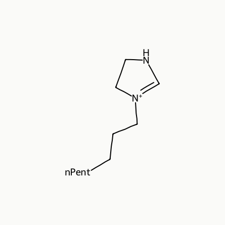 CCCCCCCC[N+]1=CNCC1